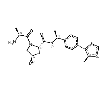 Cc1ncsc1-c1ccc([C@H](C)NC(=O)[C@@H]2C[C@@H](O)CN2C(=O)[C@H](C)N)cc1